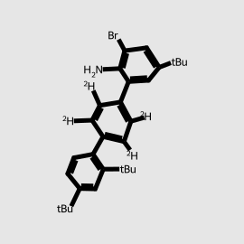 [2H]c1c([2H])c(-c2cc(C(C)(C)C)cc(Br)c2N)c([2H])c([2H])c1-c1ccc(C(C)(C)C)cc1C(C)(C)C